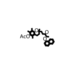 CC(=O)Oc1c(C)c(C)c2c(c1C)CCC(C)(CCC(=O)C(C)Oc1cccc3ccccc13)O2